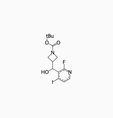 CC(C)(C)OC(=O)N1CC(C(O)c2c(I)ccnc2F)C1